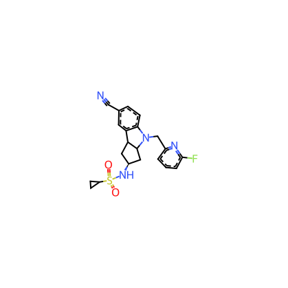 N#Cc1ccc2c(c1)C1C[C@H](NS(=O)(=O)C3CC3)CC1N2Cc1cccc(F)n1